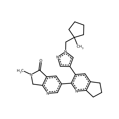 CN1Cc2ncc(-c3nc4c(cc3-c3cnn(CC5(C)CCCC5)c3)CCC4)cc2C1=O